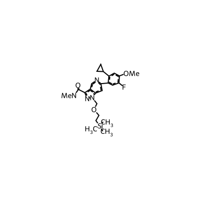 CNC(=O)c1nn(COCC[Si](C)(C)C)c2cc(-c3cc(F)c(OC)cc3C3CC3)ncc12